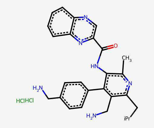 Cc1nc(CC(C)C)c(CN)c(-c2ccc(CN)cc2)c1NC(=O)c1cnc2ccccc2n1.Cl.Cl